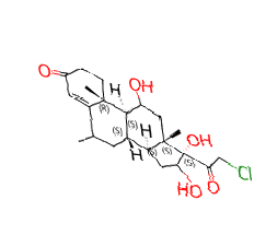 CC1C[C@@H]2[C@H](C(O)C[C@@]3(C)[C@H]2CC(O)[C@]3(O)C(=O)CCl)[C@@]2(C)CCC(=O)C=C12